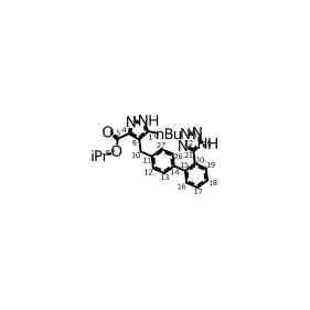 CCCCc1[nH]nc(C(=O)OC(C)C)c1Cc1ccc(-c2ccccc2-c2nnn[nH]2)cc1